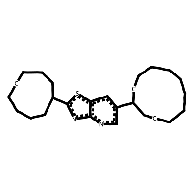 c1nc2nc(C3CCCCCCCC3)sc2cc1C1CCCCCCCCCC1